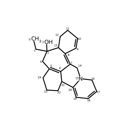 CCC1(O)CC2=C3C(=C4C=CCCC41)CN1CC=CC=C1C3CCC2